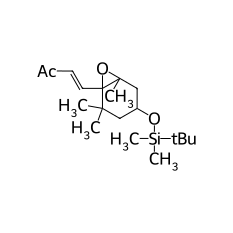 CC(=O)/C=C/C12OC1(C)CC(O[Si](C)(C)C(C)(C)C)CC2(C)C